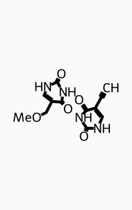 C#Cc1c[nH]c(=O)[nH]c1=O.COCc1c[nH]c(=O)[nH]c1=O